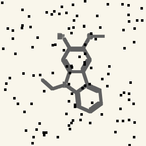 CCn1c2ccccc2c2cc(OC)c(Br)cc21